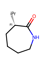 CC(C)[C@H]1CCCCNC1=O